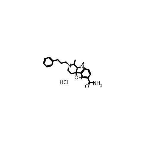 CC1C(N(C)C)C(O)(c2cccc(C(N)=O)c2)CCN1CCCc1ccccc1.Cl